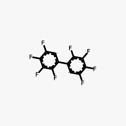 Fc1[c]c(-c2[c]c(F)c(F)c(F)c2F)c(F)c(F)c1F